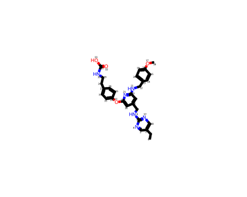 CCc1cnc(NCc2cc(NCc3ccc(OC)cc3)nc(Oc3ccc(CCNC(=O)O)cc3)c2)nc1